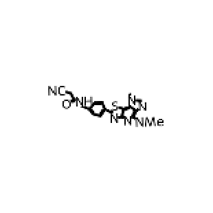 CNc1nc2nc(-c3ccc(CNC(=O)CC#N)cc3)sc2c2c1ncn2C